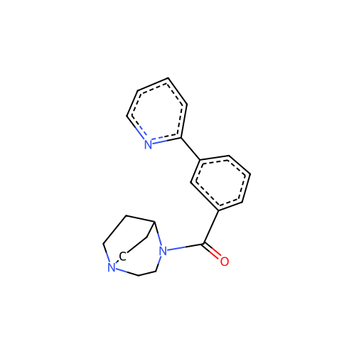 O=C(c1cccc(-c2ccccn2)c1)N1CCN2CCC1CC2